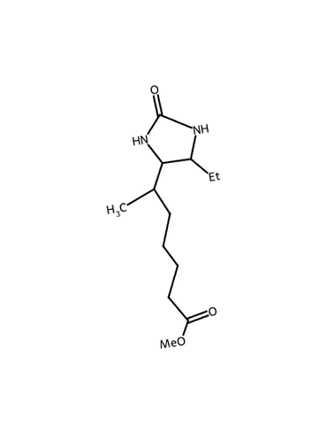 CCC1NC(=O)NC1C(C)CCCCC(=O)OC